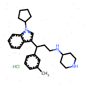 Cc1cccc(C(CCNC2CCNCC2)c2cn(C3CCCC3)c3ccccc23)c1.Cl